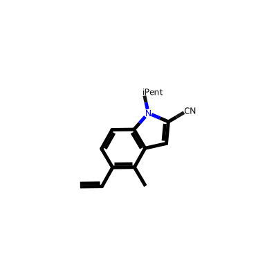 C=Cc1ccc2c(cc(C#N)n2C(C)CCC)c1C